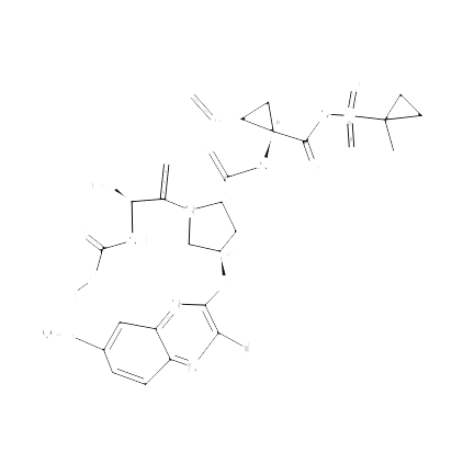 C=C[C@@H]1C[C@]1(NC(=O)[C@@H]1C[C@@H](Oc2nc3cc(OC)ccc3nc2C(C)C)CN1C(=O)[C@@H](NC(=O)OC(C)(C)C)C(C)(C)C)C(=O)NS(=O)(=O)C1(C)CC1